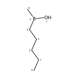 CCCCCB(C)O